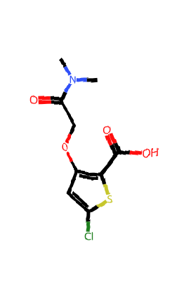 CN(C)C(=O)COc1cc(Cl)sc1C(=O)O